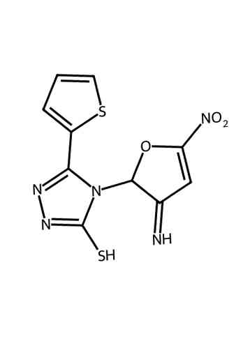 N=C1C=C([N+](=O)[O-])OC1n1c(S)nnc1-c1cccs1